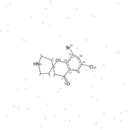 O=C1CC2(CCNCC2)Oc2c(Br)cc(Cl)cc21